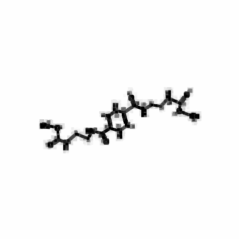 CC(C)(C)OC(=O)NCCNC(=O)C1=NNC(C(=O)NCCNC(=O)OC(C)(C)C)=NN1